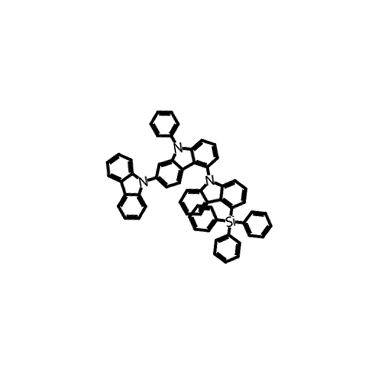 c1ccc(-n2c3cc(-n4c5ccccc5c5ccccc54)ccc3c3c(-n4c5ccccc5c5c([Si](c6ccccc6)(c6ccccc6)c6ccccc6)cccc54)cccc32)cc1